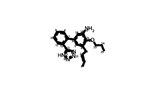 CC=CCc1cc(-c2ccccc2-c2nnn[nH]2)cc(N)c1OCCC